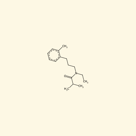 CCN(CCCc1ccccc1C)C(=O)C(C)C